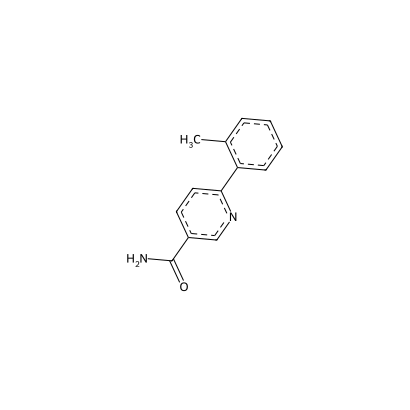 Cc1ccccc1-c1ccc(C(N)=O)cn1